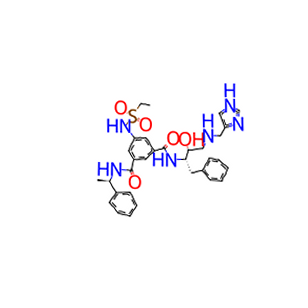 CCS(=O)(=O)Nc1cc(C(=O)N[C@@H](Cc2ccccc2)[C@H](O)CNCc2c[nH]cn2)cc(C(=O)N[C@H](C)c2ccccc2)c1